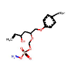 C=CC(O)CC(COc1ccc(CCCCCCCCC)cc1)OCOS(=O)(=O)ON